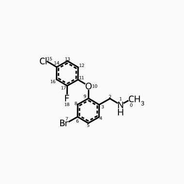 CNCc1ccc(Br)cc1Oc1ccc(Cl)cc1F